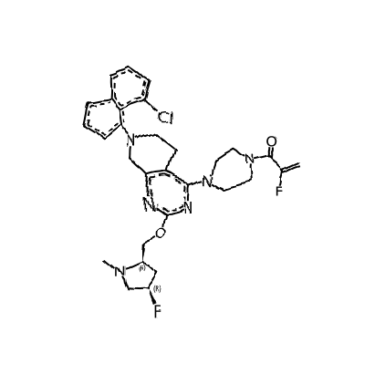 C=C(F)C(=O)N1CCN(c2nc(OC[C@H]3C[C@@H](F)CN3C)nc3c2CCN(c2cccc4cccc(Cl)c24)C3)CC1